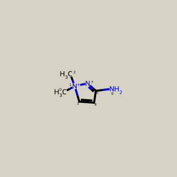 C[N+]1(C)C=CC(N)=N1